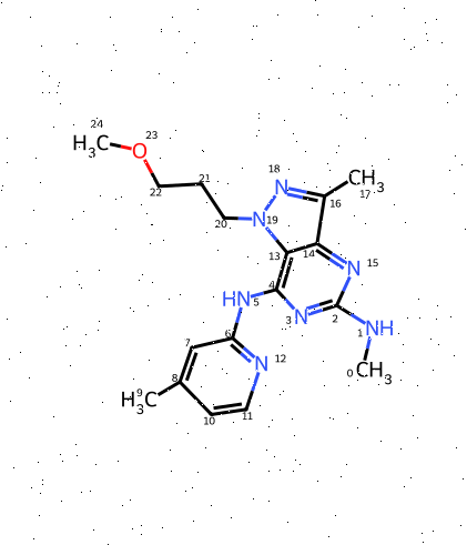 CNc1nc(Nc2cc(C)ccn2)c2c(n1)c(C)nn2CCCOC